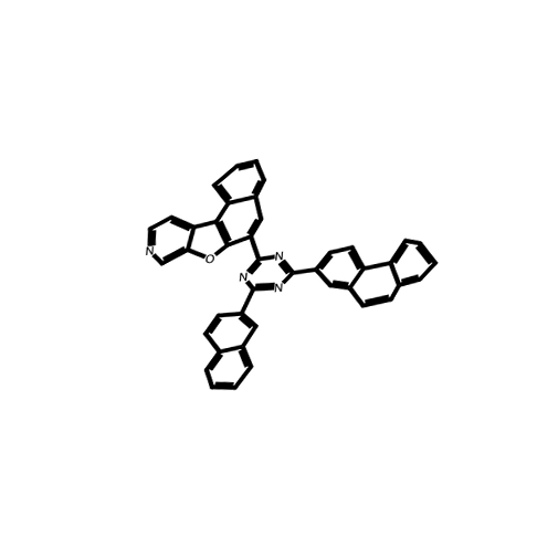 c1ccc2cc(-c3nc(-c4ccc5c(ccc6ccccc65)c4)nc(-c4cc5ccccc5c5c4oc4cnccc45)n3)ccc2c1